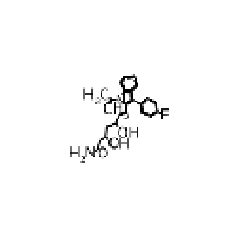 CC(C)n1c(/C=C/C(O)CC(O)CC(N)=O)c(-c2ccc(F)cc2)c2ccccc21